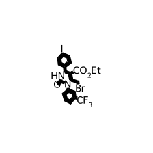 CCOC(=O)C1=C(CBr)N(c2cccc(C(F)(F)F)c2)C(=O)NC1c1ccc(I)cc1